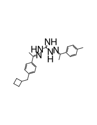 C/C(=N\NC(=N)N/N=C(\C)c1ccc(CC2CCC2)cc1)c1ccc(C)cc1